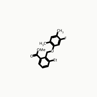 CCc1cccc(C(=O)OC)c1COc1cc(F)c(C)cc1C